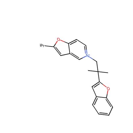 CC(C)c1cc2c[n+](CC(C)(C)c3cc4ccccc4o3)ccc2o1